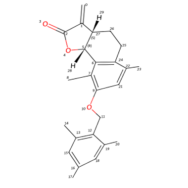 C=C1C(=O)O[C@H]2c3c(C)c(OCc4c(C)cc(C)cc4C)cc(C)c3CC[C@@H]12